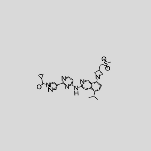 CC(C)c1ccc(N2CC(CS(C)(=O)=O)C2)c2cnc(Nc3ccnc(-c4cnn(C(=O)C5CC5)c4)n3)cc12